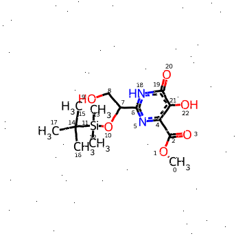 COC(=O)c1nc(C(CO)O[Si](C)(C)C(C)(C)C)[nH]c(=O)c1O